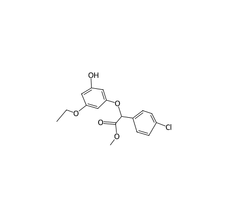 CCOc1cc(O)cc(OC(C(=O)OC)c2ccc(Cl)cc2)c1